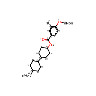 CCCCCCCCCOc1ccc(C(=O)OC2CCC(C3CCC(CCCCCC)CC3)CC2)cc1C#N